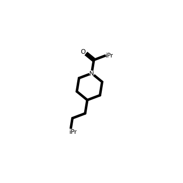 CC(C)CCC1CCN(C(=O)C(C)C)CC1